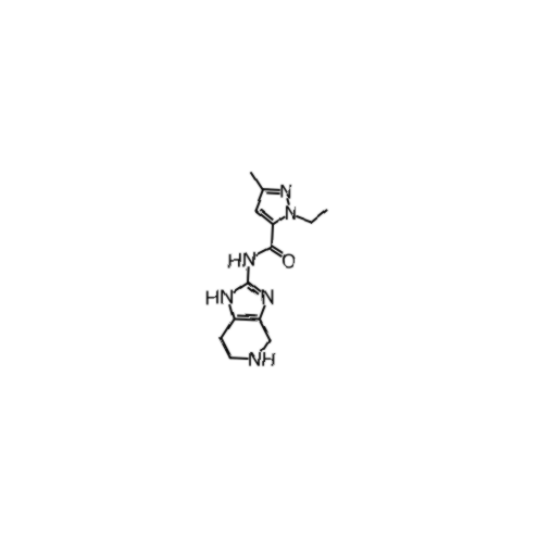 CCn1nc(C)cc1C(=O)Nc1nc2c([nH]1)CCNC2